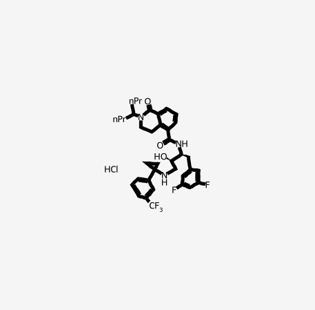 CCCC(CCC)N1CCc2c(C(=O)N[C@@H](Cc3cc(F)cc(F)c3)[C@@H](O)CNC3(c4cccc(C(F)(F)F)c4)CC3)cccc2C1=O.Cl